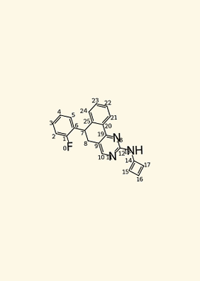 Fc1ccccc1C1Cc2cnc(NC3=CC=C3)nc2-c2ccccc21